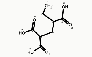 [CH2]CC(CC(C(=O)O)C(=O)O)C(=O)O